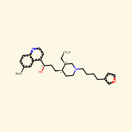 COc1ccc2nccc([C@H](O)CC[C@@H]3CCN(CCCCc4ccoc4)C[C@@H]3CC(=O)O)c2c1